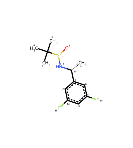 C[C@@H](N[S+]([O-])C(C)(C)C)c1cc(F)cc(F)c1